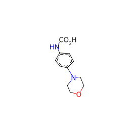 O=C(O)Nc1ccc(N2CCOCC2)cc1